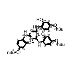 CCCCOc1ccc(Nc2nc(Nc3ccc(OCCCC)cc3O)nc(Nc3ccc(OCCCC)cc3O)n2)c(O)c1